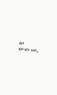 [InH3].[KH].[KH].[KH]